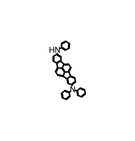 c1ccc(Nc2ccc3c(c2)-c2ccc4c5c(ccc-3c25)-c2cc(N(c3ccccc3)c3ccccc3)ccc2-4)cc1